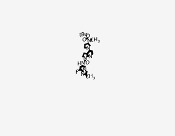 Cc1cn2cc(NC(=O)N3CCc4c(N5CC[C@H](N(C)C(=O)OC(C)(C)C)C5)ccnc43)cc(F)c2n1